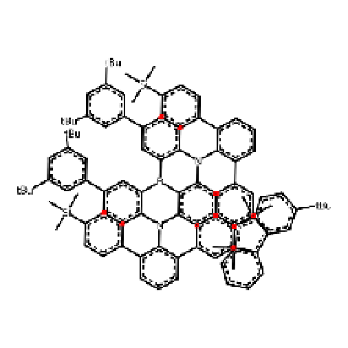 CC(C)(C)c1cc(-c2ccc3c(c2)B2c4cc(-c5cc(C(C)(C)C)cc(C(C)(C)C)c5)ccc4N(c4c(-c5ccc([Si](C)(C)C)cc5)cccc4-c4ccc([Si](C)(C)C)cc4)c4cc(-n5c6ccccc6c6cc(C(C)(C)C)ccc65)cc(c42)N3c2c(-c3ccc([Si](C)(C)C)cc3)cccc2-c2ccc([Si](C)(C)C)cc2)cc(C(C)(C)C)c1